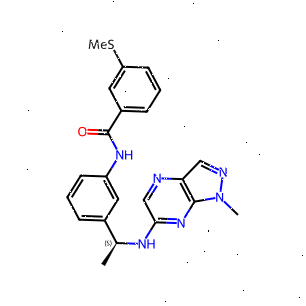 CSc1cccc(C(=O)Nc2cccc([C@H](C)Nc3cnc4cnn(C)c4n3)c2)c1